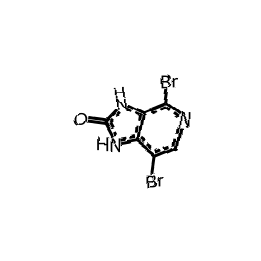 O=c1[nH]c2c(Br)cnc(Br)c2[nH]1